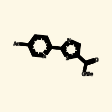 COC(=O)c1cnc(-c2ccc(C(C)=O)cn2)s1